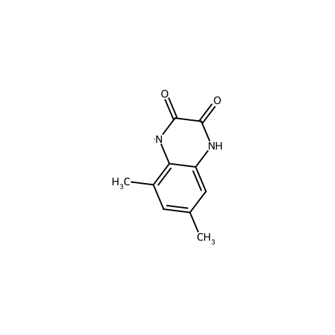 Cc1cc(C)c2c(c1)NC(=O)C(=O)[N]2